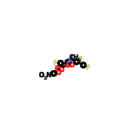 C[C@@H](c1ccc(-c2ccc(F)cc2)c(F)c1)N1CC[C@](CCOC(=O)Oc2ccc([N+](=O)[O-])cc2)(c2ccc(F)cc2)OC1=O